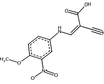 COc1ccc(NC=C(C#N)C(=O)O)cc1[N+](=O)[O-]